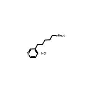 CCCCCCCCCCCCc1cccnc1.Cl